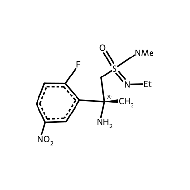 CCN=S(=O)(C[C@](C)(N)c1cc([N+](=O)[O-])ccc1F)NC